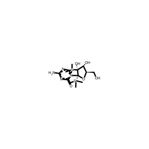 C[Si](C)(C)[C@@]1(O)[C@H](O)[C@@H](CO)O[C@]1(n1cnc(N)nc1=O)[Si](C)(C)C